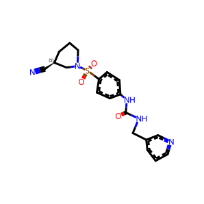 N#C[C@H]1CCCN(S(=O)(=O)c2ccc(NC(=O)NCc3cccnc3)cc2)C1